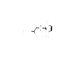 CC(N)CS(=O)(=O)c1ncc[nH]1.Cl